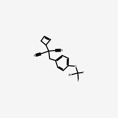 N#CC(C#N)(Cc1ccc(OC(F)(F)Br)cc1)C1C=CC1